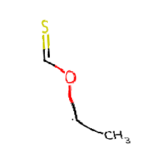 C[CH]OC=S